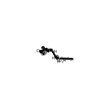 Cc1cn2nc([C@@H]3CCCCN3C(=O)c3cc(Cl)ccc3NS(C)(=O)=O)cc2nc1N1CC[C@H](NCCCCCC(=O)N[C@@H](CS(=O)(=O)O)C(=O)NCCOCCOCCOCCOCI)C1